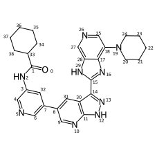 O=C(Nc1cncc(-c2cnc3[nH]nc(-c4nc5c(N6CCCCC6)cncc5[nH]4)c3c2)c1)C1CCCCC1